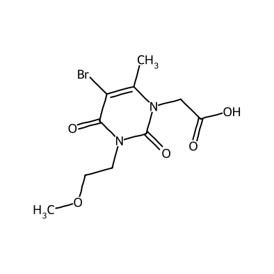 COCCn1c(=O)c(Br)c(C)n(CC(=O)O)c1=O